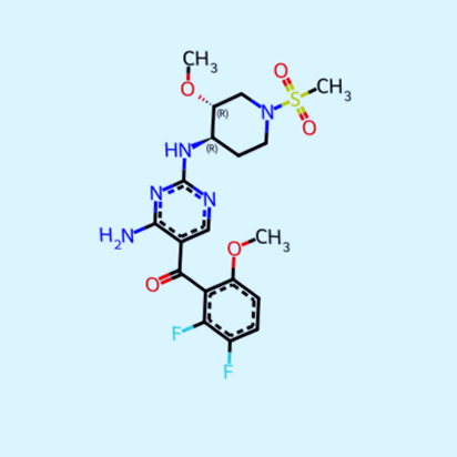 COc1ccc(F)c(F)c1C(=O)c1cnc(N[C@@H]2CCN(S(C)(=O)=O)C[C@H]2OC)nc1N